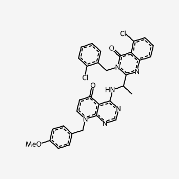 COc1ccc(Cn2ccc(=O)c3c(NC(C)c4nc5cccc(Cl)c5c(=O)n4Cc4ccccc4Cl)ncnc32)cc1